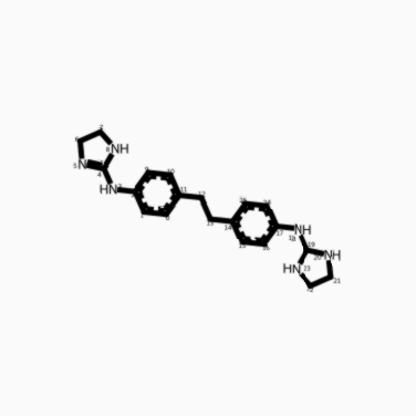 c1cc(NC2=NCCN2)ccc1CCc1ccc(NC2NCCN2)cc1